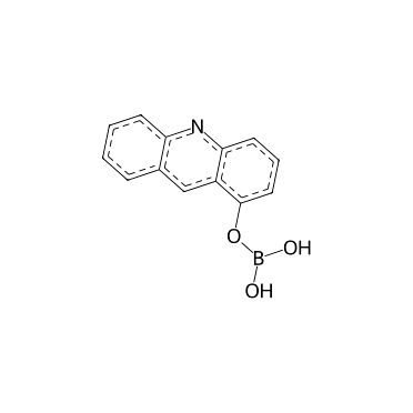 OB(O)Oc1cccc2nc3ccccc3cc12